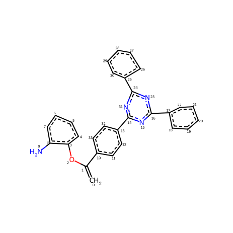 C=C(Oc1ccccc1N)c1ccc(-c2nc(-c3ccccc3)nc(-c3ccccc3)n2)cc1